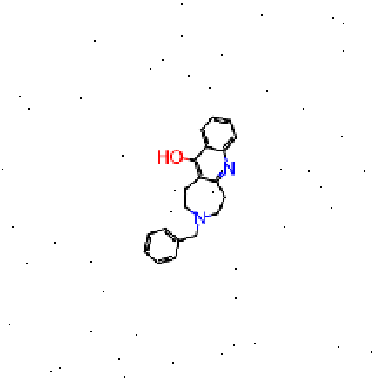 Oc1c2c(nc3ccccc13)CCN(Cc1ccccc1)CC2